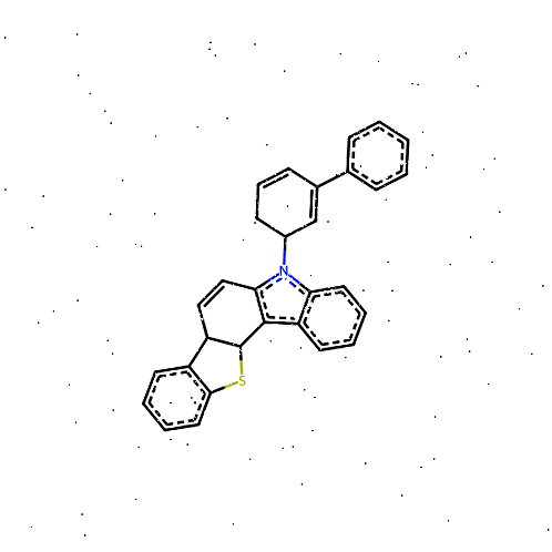 C1=CC(c2ccccc2)=CC(n2c3c(c4ccccc42)C2Sc4ccccc4C2C=C3)C1